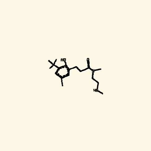 CNCCN(C)C(=O)CCc1cc(C)cc(C(C)(C)C)c1O